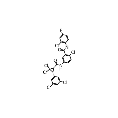 O=C(Nc1ccc(F)cc1Cl)c1cc(NC(=O)[C@H]2[C@H](c3cc(Cl)cc(Cl)c3)C2(Cl)Cl)ccc1Cl